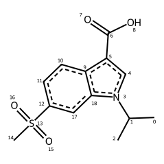 CC(C)n1cc(C(=O)O)c2ccc(S(C)(=O)=O)cc21